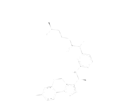 C[C@H](F)CCOC(=O)N(C)c1ccnc(N[C@@H](C)c2ncn3c2COc2cc(F)ccc2-3)n1